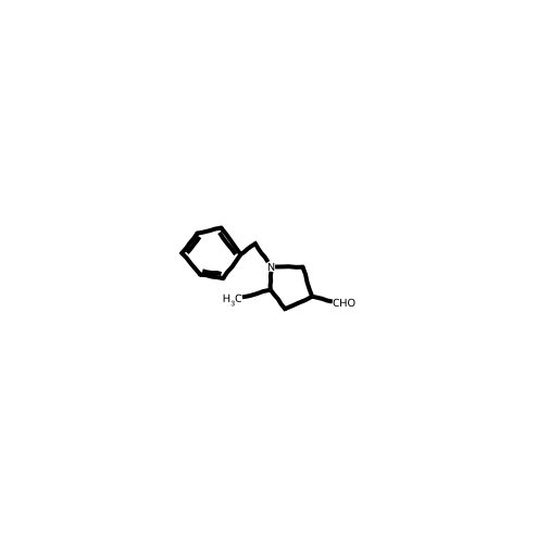 CC1CC(C=O)CN1Cc1ccccc1